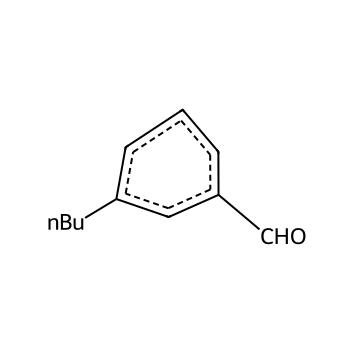 CCCCc1cccc(C=O)c1